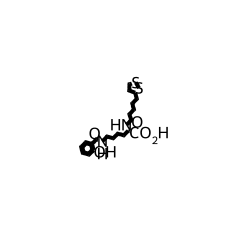 O=C(CCCCC1CCSS1)NC(CCCCNC(=O)c1ccccc1O)C(=O)O